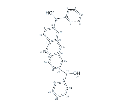 OC(c1ccccc1)c1ccc2nc3ccc(C(O)c4ccccc4)cc3cc2c1